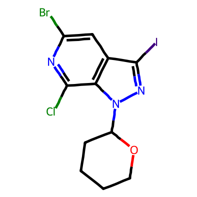 Clc1nc(Br)cc2c(I)nn(C3CCCCO3)c12